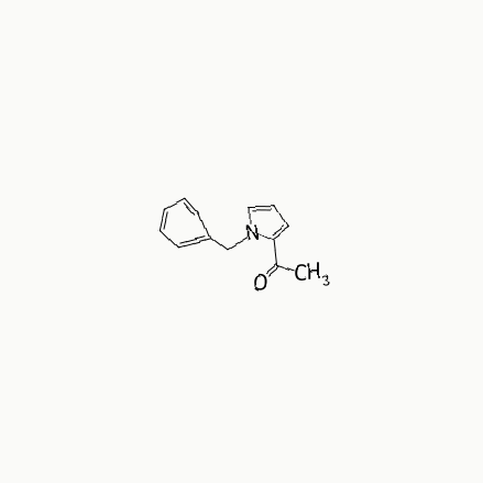 CC(=O)c1cccn1Cc1ccccc1